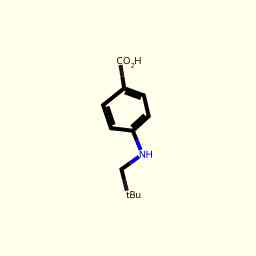 CC(C)(C)CNc1ccc(C(=O)O)cc1